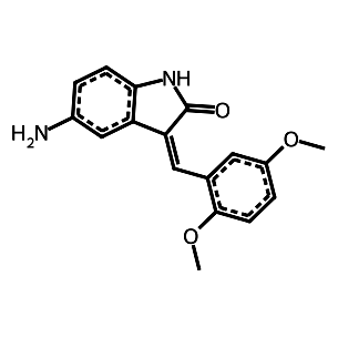 COc1ccc(OC)c(/C=C2\C(=O)Nc3ccc(N)cc32)c1